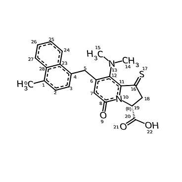 Cc1ccc(Cc2cc(=O)n3c(c2N(C)C)C(=S)C[C@@H]3C(=O)O)c2ccccc12